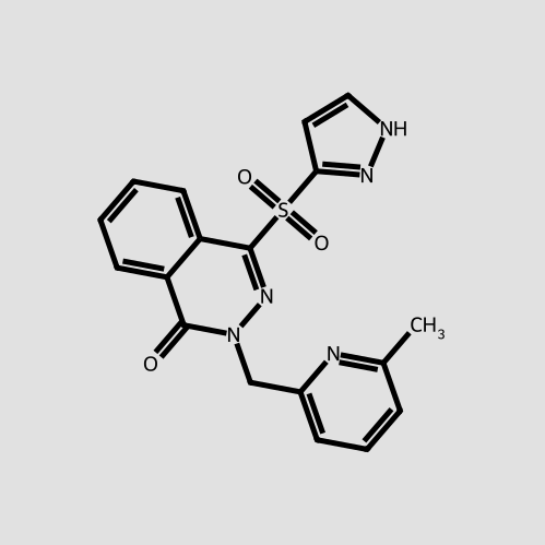 Cc1cccc(Cn2nc(S(=O)(=O)c3cc[nH]n3)c3ccccc3c2=O)n1